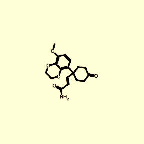 COc1ccc(C2(C=CC(N)=O)CCC(=O)CC2)c2c1OCCO2